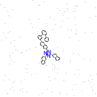 c1ccc(-c2ccccc2-c2cccc(-c3ccc4cc(-c5nc(-c6ccc7ccccc7c6)nc(-c6ccc7ccccc7c6)n5)ccc4c3)c2)cc1